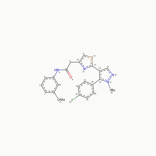 COc1cccc(NC(=O)Cc2csc(-c3cnn(C(C)(C)C)c3-c3ccc(F)cc3)n2)c1